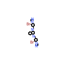 Brc1cc(/C=N/c2ccc(/N=C/c3ccc(-n4ccnc4)c(Br)c3)c3ccccc23)ccc1-n1ccnc1